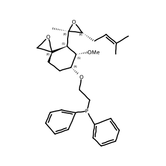 CO[C@@H]1[C@H](OCCP(c2ccccc2)c2ccccc2)CC[C@]2(CO2)[C@H]1[C@@]1(C)O[C@@H]1CC=C(C)C